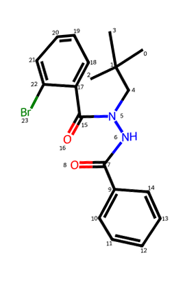 CC(C)(C)CN(NC(=O)c1ccccc1)C(=O)c1ccccc1Br